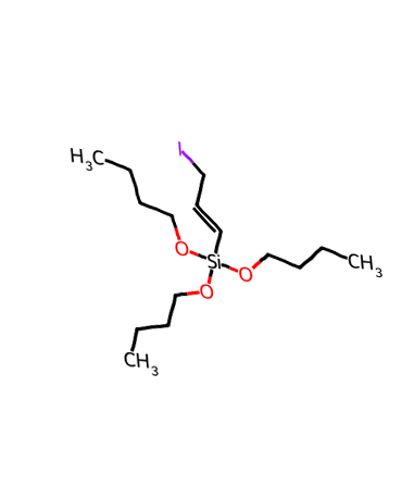 CCCCO[Si](C=CCI)(OCCCC)OCCCC